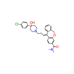 CN(C)C(=O)c1ccc2c(c1)OCc1ccccc1C2=CCCN1CCC(O)(c2ccc(Cl)cc2)CC1